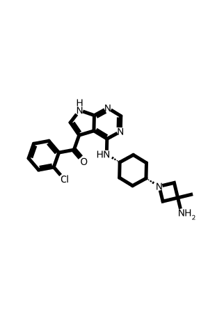 CC1(N)CN([C@H]2CC[C@@H](Nc3ncnc4[nH]cc(C(=O)c5ccccc5Cl)c34)CC2)C1